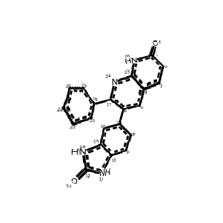 O=c1ccc2cc(-c3ccc4[nH]c(=O)[nH]c4c3)c(-c3ccccc3)nc2[nH]1